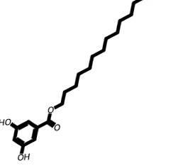 CCCCCCCCCCCCCCCCCCCCCCOC(=O)c1cc(O)cc(O)c1